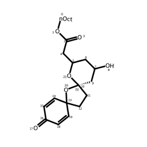 CCCCCCCCOC(=O)CC1CC(O)C[C@@]2(CCC3(C=CC(=O)C=C3)O2)O1